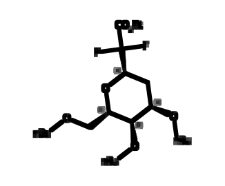 CCCCOC[C@H]1O[C@@H](C(F)(F)C(=O)OCC)C[C@@H](OCCCC)[C@H]1OCCCC